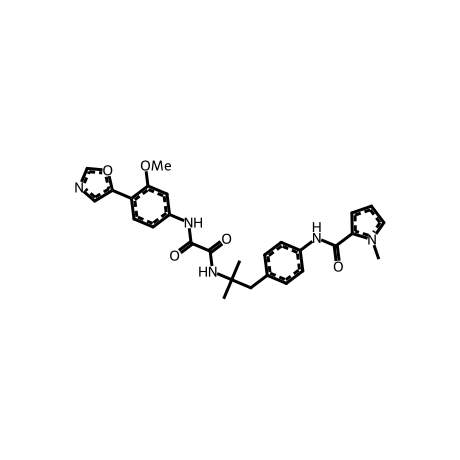 COc1cc(NC(=O)C(=O)NC(C)(C)Cc2ccc(NC(=O)c3cccn3C)cc2)ccc1-c1cnco1